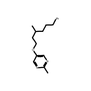 Cc1ncc(OCCC(C)CCCC(C)C)cn1